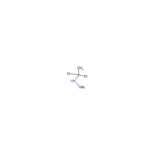 CCCCNC(C)(CC)CC